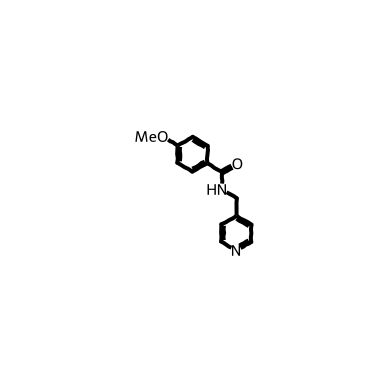 COc1ccc(C(=O)NCc2ccncc2)cc1